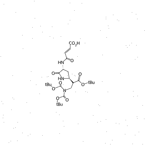 CC(C)(C)OC(=O)C(CN(C(=O)OC(C)(C)C)C(=O)OC(C)(C)C)[C@@H]1C[C@@H](NC(=O)C=CC(=O)O)C(=O)N1